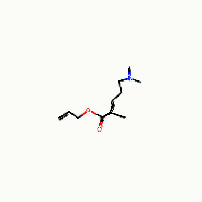 C=CCOC(=O)C(C)=CCCN(C)C